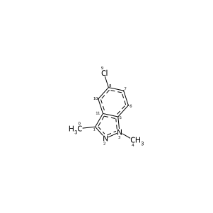 Cc1nn(C)c2ccc(Cl)cc12